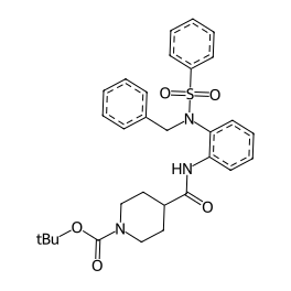 CC(C)(C)OC(=O)N1CCC(C(=O)Nc2ccccc2N(Cc2ccccc2)S(=O)(=O)c2ccccc2)CC1